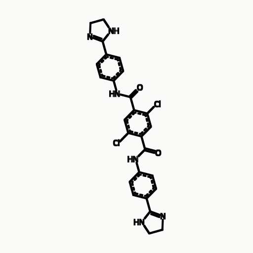 O=C(Nc1ccc(C2=NCCN2)cc1)c1cc(Cl)c(C(=O)Nc2ccc(C3=NCCN3)cc2)cc1Cl